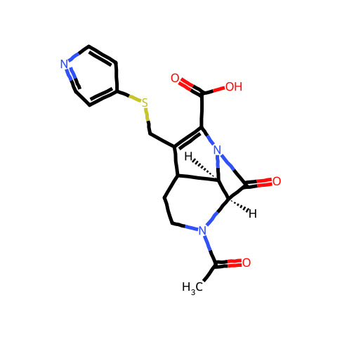 CC(=O)N1CCC2C(CSc3ccncc3)=C(C(=O)O)N3C(=O)[C@@H]1[C@@H]23